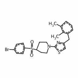 Cc1cccc(Cc2csc(N3CCC(S(=O)(=O)c4ccc(Br)cc4)CC3)n2)c1C